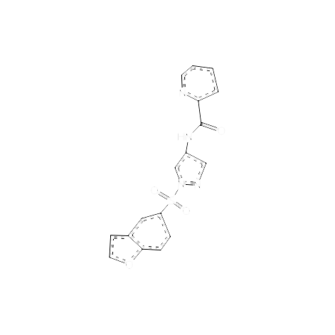 O=C(Nc1cnn(S(=O)(=O)c2ccc3occc3c2)c1)c1ccccn1